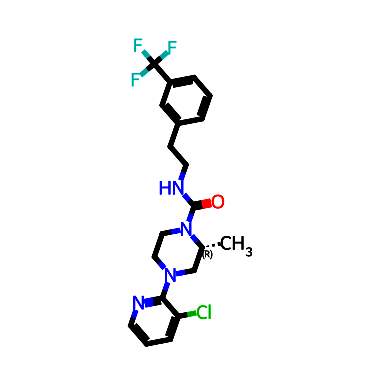 C[C@@H]1CN(c2ncccc2Cl)CCN1C(=O)NCCc1cccc(C(F)(F)F)c1